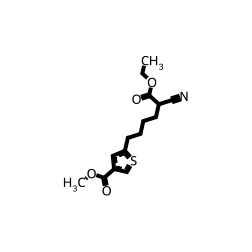 CCOC(=O)C(C#N)CCCCc1cc(C(=O)OC)cs1